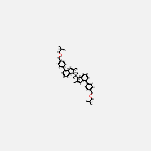 CC1=Cc2c(-c3ccc(COCC(C)C)cc3)cccc2C1[Si](C)(C)C1C(C)=Cc2c(-c3ccc(COCC(C)C)cc3)cccc21